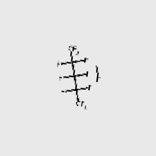 CF.FC(F)(F)C(F)(F)C(F)(F)C(F)(F)C(F)(F)F